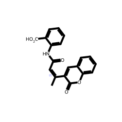 C/C(=C/C(=O)Nc1ccccc1C(=O)O)c1cc2ccccc2oc1=O